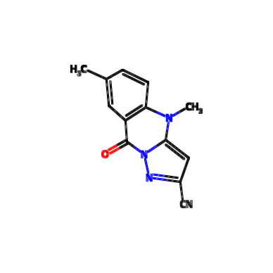 Cc1ccc2c(c1)c(=O)n1nc(C#N)cc1n2C